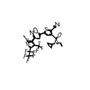 CCN(C(=O)c1cc(-c2cc(-c3c(C(F)(F)F)c(C(F)(F)C(F)(F)F)nn3C)no2)sc1C#N)C1CC1